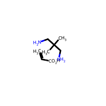 C=CC(=O)O.CC(C)(CN)CN